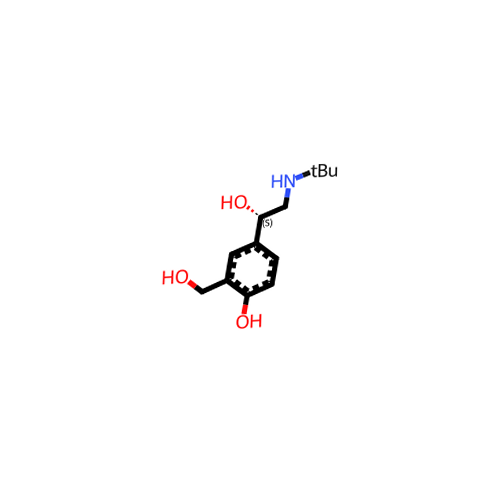 CC(C)(C)NC[C@@H](O)c1ccc(O)c(CO)c1